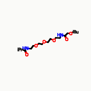 CCC(C)OCC(=O)NCCOCCOCCOCCNC(=O)C(C)C